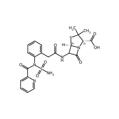 CC1(C)S[C@@H]2C(NC(=O)Cc3ccccc3N(C(=O)c3ccccn3)S(N)(=O)=O)C(=O)N2[C@H]1C(=O)O